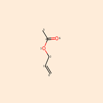 C=[C]COC(C)=O